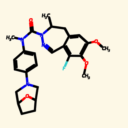 COc1cc2c(c(F)c1OC)C=NN(C(=O)N(C)c1ccc(N3CC4CCC(C3)O4)cc1)C(C)C2